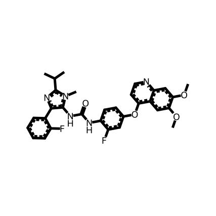 COc1cc2nccc(Oc3ccc(NC(=O)Nc4c(-c5ccccc5F)nc(C(C)C)n4C)c(F)c3)c2cc1OC